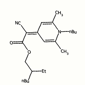 CCCCC(CC)COC(=O)C(C#N)=C1C=C(C)N(CCCC)C(C)=C1